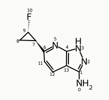 Nc1n[nH]c2nc([C@H]3C[C@@H]3F)ccc12